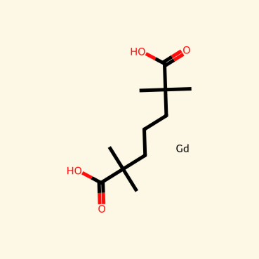 CC(C)(CCCC(C)(C)C(=O)O)C(=O)O.[Gd]